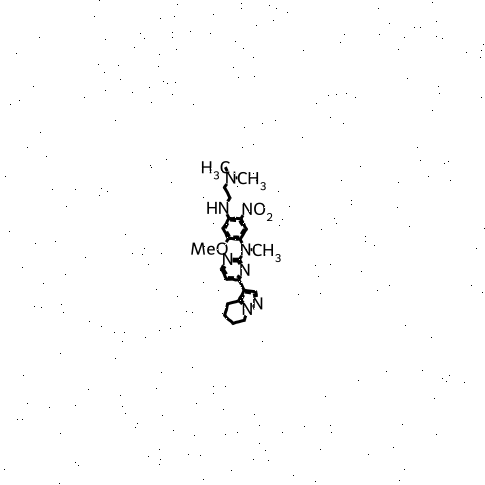 COc1cc(NCCN(C)C)c([N+](=O)[O-])cc1N(C)c1nccc(-c2cnn3c2CCCC3)n1